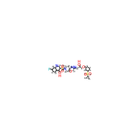 O=S(=O)(c1cccc(OCC(O)CN[C@H]2COC3(CCN(S(=O)(=O)c4cnc5cc(F)ccc5c4O)CC3)C2)c1)C1CC1